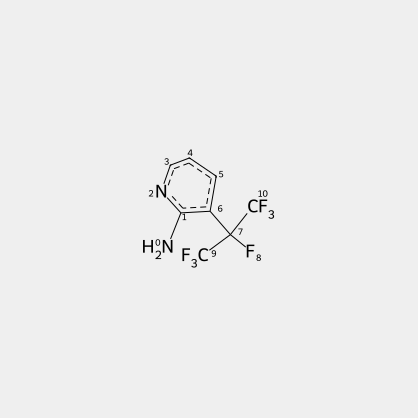 Nc1ncccc1C(F)(C(F)(F)F)C(F)(F)F